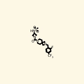 CS(=O)(=O)NC1CN(C(=O)N2CCC3(CC2)CN(Cc2ccc(C(F)(F)F)cc2F)C3)C1